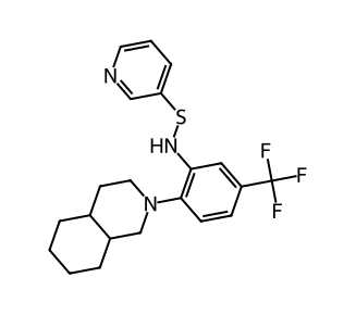 FC(F)(F)c1ccc(N2CCC3CCCCC3C2)c(NSc2cccnc2)c1